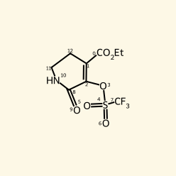 CCOC(=O)C1=C(OS(=O)(=O)C(F)(F)F)C(=O)NCC1